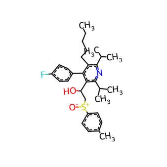 CCCCCc1c(C(C)C)nc(C(C)C)c(C(O)C[S+]([O-])c2ccc(C)cc2)c1-c1ccc(F)cc1